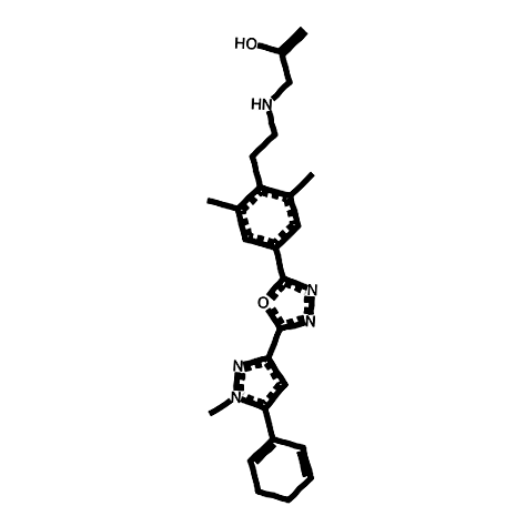 C=C(O)CNCCc1c(C)cc(-c2nnc(-c3cc(C4=CCCC=C4)n(C)n3)o2)cc1C